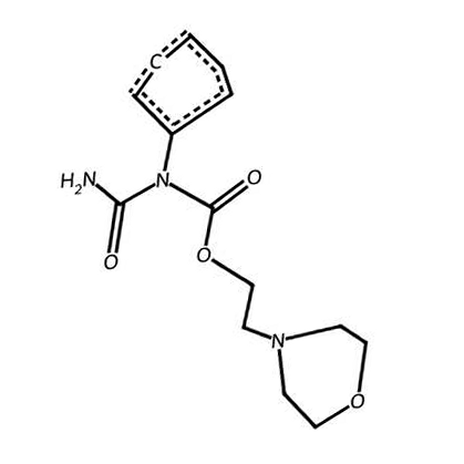 NC(=O)N(C(=O)OCCN1CCOCC1)c1ccccc1